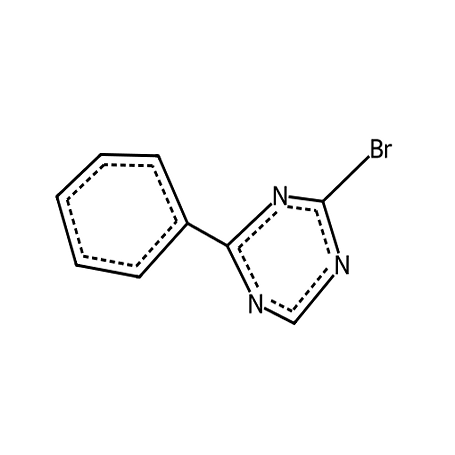 Brc1ncnc(-c2ccccc2)n1